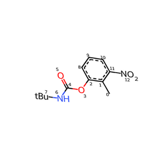 Cc1c(OC(=O)NC(C)(C)C)cccc1[N+](=O)[O-]